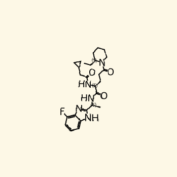 CC[C@H]1CCCCN1C(=O)CC[C@H](NC(=O)CC1CC1)C(=O)N[C@@H](C)c1nc2c(F)cccc2[nH]1